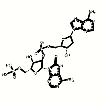 Nc1ncnc2c1ncn2[C@H]1C[C@H](O)[C@@H](COP(=O)(S)OC2[C@H](n3c(=O)[nH]c4c(N)ncnc43)O[C@H](COP(=O)(O)S)[C@H]2O)O1